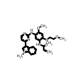 C=CC(=O)Nc1cc(Nc2nccc(-c3cn(C)c4ccccc34)n2)c(OC)cc1N(C)CCOC